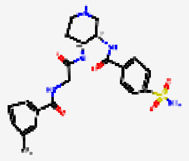 NS(=O)(=O)c1ccc(C(=O)N[C@H]2CNCC[C@H]2NC(=O)CNC(=O)c2cccc(C(F)(F)F)c2)cc1